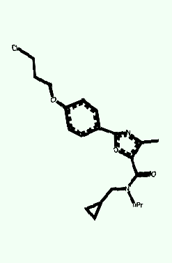 CCCN(CC1CC1)C(=O)c1oc(-c2ccc(OCCCCl)cc2)nc1C